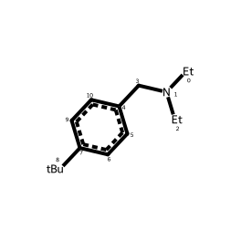 CCN(CC)Cc1ccc(C(C)(C)C)cc1